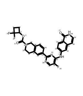 O=C(OC1CCC1(F)F)N1CCc2cc(-c3ncc(F)c(Nc4ccc5c(=O)[nH]ccc5c4)n3)ccc2C1